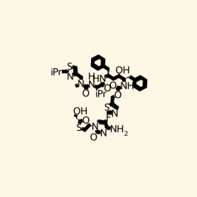 CC(C)c1nc(CN(C)C(=O)N[C@H](C(=O)N[C@@H](Cc2ccccc2)C[C@H](O)[C@H](Cc2ccccc2)NC(=O)OCc2cncs2)C(C)C)cs1.Nc1nc(=O)n([C@@H]2CS[C@H](CO)O2)cc1F